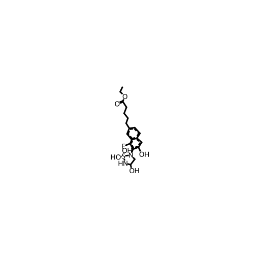 CCOC(=O)CCCCc1ccc2cc(O)c(N3CC(O)NS3(O)O)c(F)c2c1